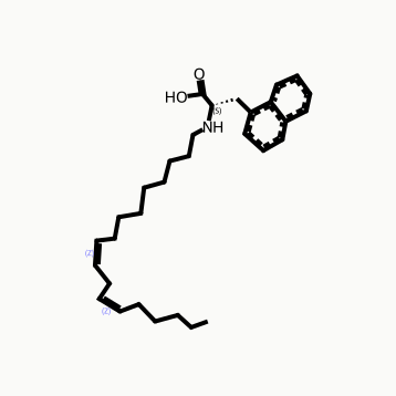 CCCCC/C=C\C/C=C\CCCCCCCCN[C@@H](Cc1cccc2ccccc12)C(=O)O